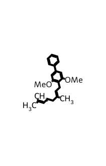 COc1cc(-c2ccccc2)cc(OC)c1C/C=C(\C)CCC=C(C)C